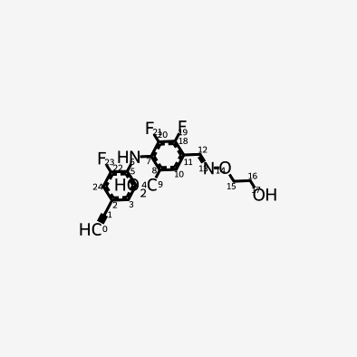 C#Cc1ccc(Nc2c(C(=O)O)cc(C=NOCCO)c(F)c2F)c(F)c1